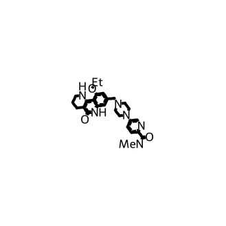 CCOc1cc(CN2CCN(c3ccc(C(=O)NC)nc3)CC2)cc2[nH]c(=O)c3c(c12)NCCC3